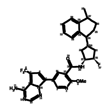 COc1ncc(-c2cc(C(F)(F)F)c3c(N)ncnn23)cc1C(=O)N[C@@H]1CN(C2CCC(C)c3ccccc32)C[C@@H]1F